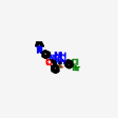 O=C(NC1=CCC(=NN2CCCC2)C=C1)[C@@H](NC(=S)Nc1ccc(Br)c(Cl)c1)c1ccccc1